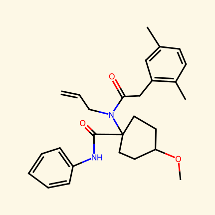 C=CCN(C(=O)Cc1cc(C)ccc1C)C1(C(=O)Nc2ccccc2)CCC(OC)CC1